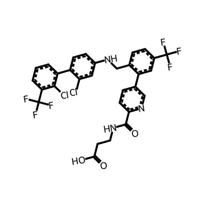 O=C(O)CCNC(=O)c1ccc(-c2cc(C(F)(F)F)ccc2CNc2ccc(-c3cccc(C(F)(F)F)c3Cl)c(Cl)c2)cn1